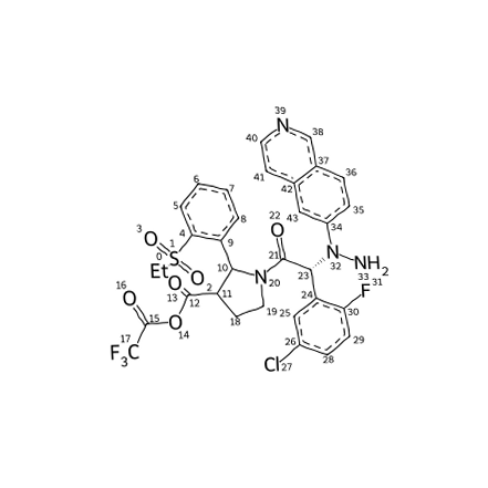 CCS(=O)(=O)c1ccccc1C1C(C(=O)OC(=O)C(F)(F)F)CCN1C(=O)[C@@H](c1cc(Cl)ccc1F)N(N)c1ccc2cnccc2c1